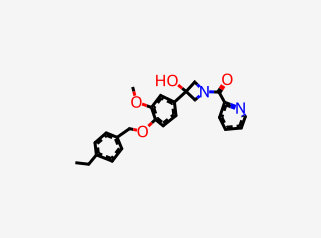 CCc1ccc(COc2ccc(C3(O)CN(C(=O)c4ccccn4)C3)cc2OC)cc1